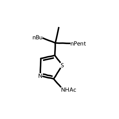 CCCCCC(C)(CCCC)c1cnc(NC(C)=O)s1